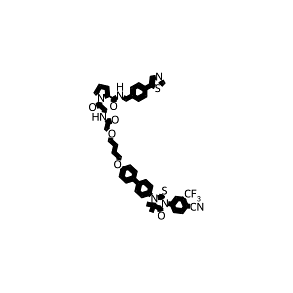 CC1(C)C(=O)N(c2ccc(C#N)c(C(F)(F)F)c2)C(=S)N1c1ccc(-c2ccc(OCCCCOCC(=O)NCC(=O)N3CCC[C@H]3C(=O)NCc3ccc(-c4cncs4)cc3)cc2)cc1